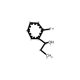 CC[C](O)c1ccccc1F